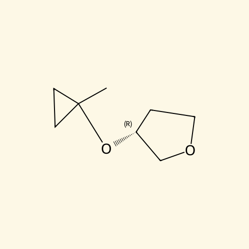 CC1(O[C@@H]2CCOC2)CC1